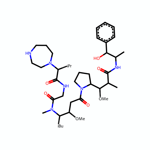 CCC(C)C(C(CC(=O)N1CCCC1C(OC)C(C)C(=O)NC(C)C(O)c1ccccc1)OC)N(C)C(=O)CNC(=O)C(C(C)C)N1CCCNCC1